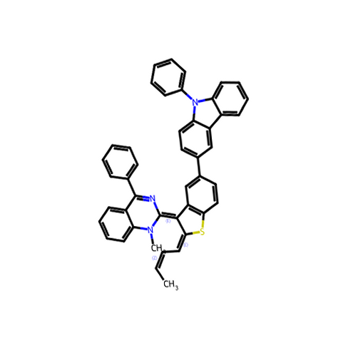 C\C=C/C=c1/sc2ccc(-c3ccc4c(c3)c3ccccc3n4-c3ccccc3)cc2/c1=C1\N=C(c2ccccc2)c2ccccc2N1C